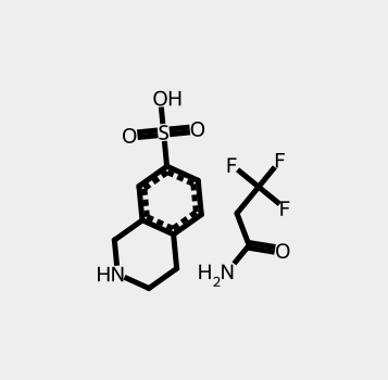 NC(=O)CC(F)(F)F.O=S(=O)(O)c1ccc2c(c1)CNCC2